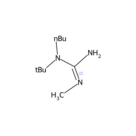 CCCCN(/C(N)=N\C)C(C)(C)C